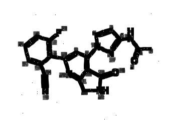 CC(=O)Nc1ccn(-c2cc(-c3c(F)cccc3C#N)nc3c2C(=O)NC3)n1